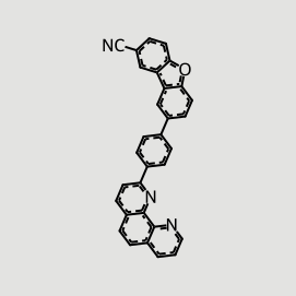 N#Cc1ccc2oc3ccc(-c4ccc(-c5ccc6ccc7cccnc7c6n5)cc4)cc3c2c1